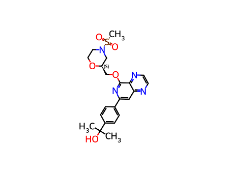 CC(C)(O)c1ccc(-c2cc3nccnc3c(OC[C@@H]3CN(S(C)(=O)=O)CCO3)n2)cc1